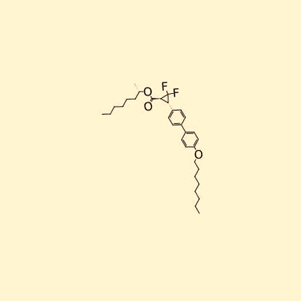 CCCCCCCCOc1ccc(-c2ccc([C@@H]3[C@@H](C(=O)O[C@@H](C)CCCCCC)C3(F)F)cc2)cc1